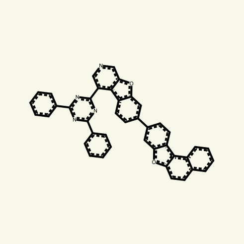 c1ccc(-c2nc(-c3ccccc3)nc(-c3cncc4oc5cc(-c6ccc7c(c6)oc6ccc8ccccc8c67)ccc5c34)n2)cc1